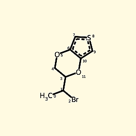 CC(Br)C1COc2cscc2O1